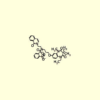 CCN1C(=O)C(C)(C)C(=O)N(C)c2cc(OCCCN(CCn3ccc4ccccc4c3=O)S(=O)(=O)c3ccccc3[N+](=O)[O-])ccc21